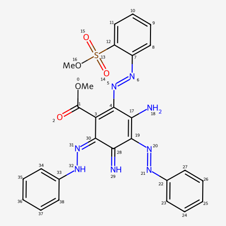 COC(=O)C1=C(/N=N/c2ccccc2S(=O)(=O)OC)C(N)=C(/N=N/c2ccccc2)C(=N)/C1=N\Nc1ccccc1